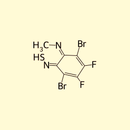 C/N=C1/C(Br)=C(F)C(F)=C(Br)/C1=N/S